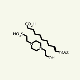 CCCCCCCCC=CCCCCCCCC(=O)O.O=S(=O)(O)CCN1CCN(CCO)CC1